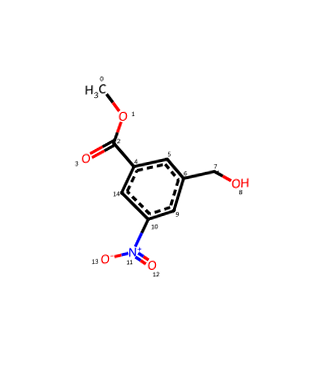 COC(=O)c1cc([CH]O)cc([N+](=O)[O-])c1